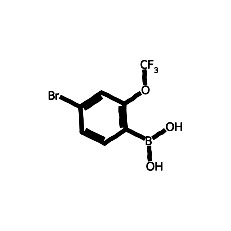 OB(O)c1ccc(Br)cc1OC(F)(F)F